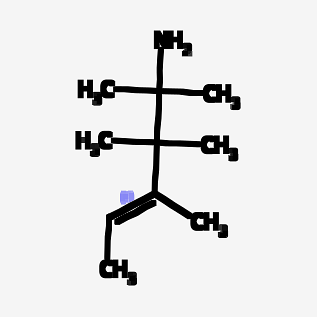 C/C=C(\C)C(C)(C)C(C)(C)N